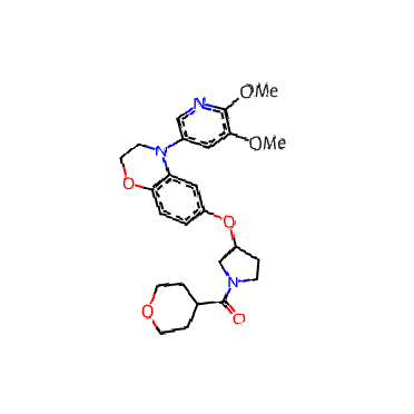 COc1cc(N2CCOc3ccc(OC4CCN(C(=O)C5CCOCC5)C4)cc32)cnc1OC